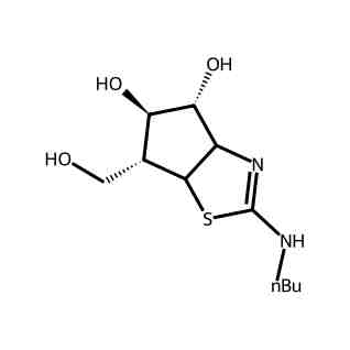 CCCCNC1=NC2C(S1)[C@H](CO)[C@@H](O)[C@@H]2O